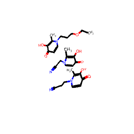 CCOCCCn1ccc(=O)c(O)c1C.Cc1c(O)c(=O)ccn1CC#N.Cc1c(O)c(=O)ccn1CCC#N